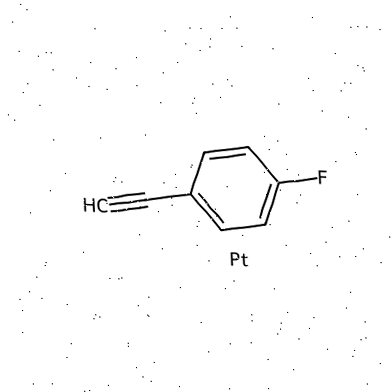 C#Cc1ccc(F)cc1.[Pt]